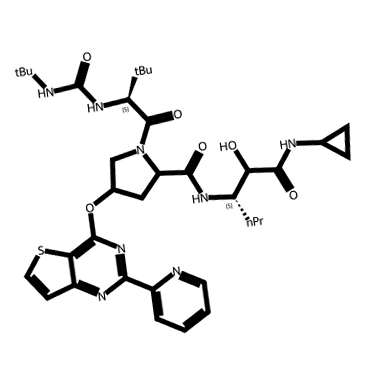 CCC[C@H](NC(=O)C1CC(Oc2nc(-c3ccccn3)nc3ccsc23)CN1C(=O)[C@@H](NC(=O)NC(C)(C)C)C(C)(C)C)C(O)C(=O)NC1CC1